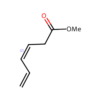 C=C/C=C\CC(=O)OC